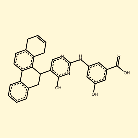 O=C(O)c1cc(O)cc(Nc2ncc(C3Cc4ccccc4-c4ccc5c(c43)CC=CC5)c(O)n2)c1